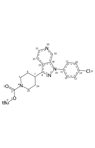 CC(C)(C)OC(=O)N1CCC(c2nn(-c3ccc(Cl)cc3)c3cnccc23)CC1